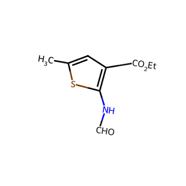 CCOC(=O)c1cc(C)sc1NC=O